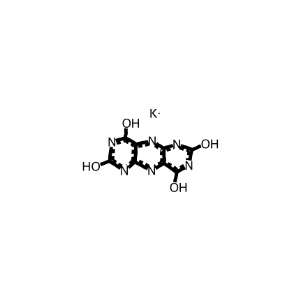 Oc1nc(O)c2nc3nc(O)nc(O)c3nc2n1.[K]